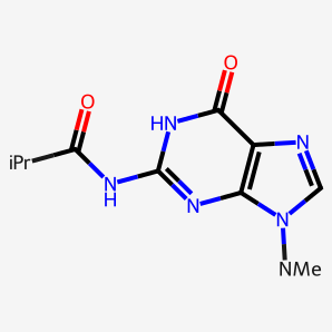 CNn1cnc2c(=O)[nH]c(NC(=O)C(C)C)nc21